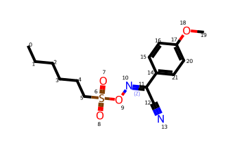 CCCCCCS(=O)(=O)O/N=C(\C#N)c1ccc(OC)cc1